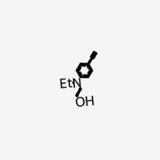 C#Cc1ccc(N(CC)CCO)cc1